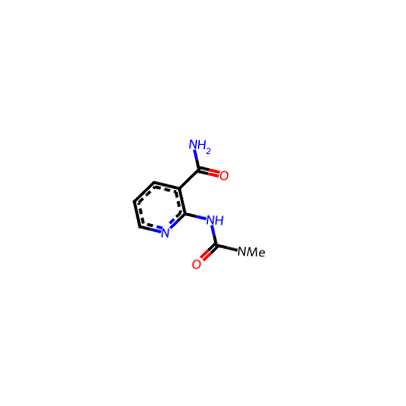 CNC(=O)Nc1ncccc1C(N)=O